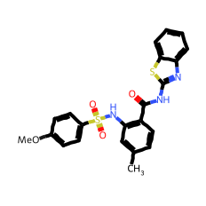 COc1ccc(S(=O)(=O)Nc2cc(C)ccc2C(=O)Nc2nc3ccccc3s2)cc1